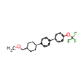 COCC1CCC(c2ccc(-c3ccc(OC(F)(F)F)cc3)cc2)CC1